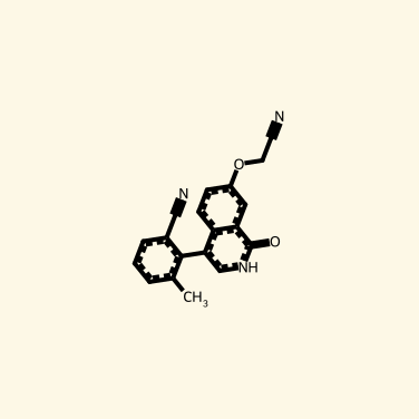 Cc1cccc(C#N)c1-c1c[nH]c(=O)c2cc(OCC#N)ccc12